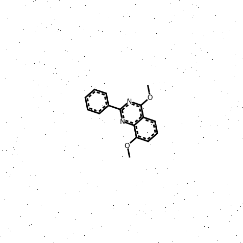 COc1nc(-c2ccccc2)nc2c(OC)cccc12